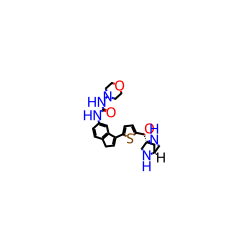 O=C(Nc1ccc2c(c1)C(c1ccc(C(=O)[C@]34CN[C@H](CN3)C4)s1)=CC2)NN1CCOCC1